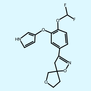 FC(F)Oc1ccc(C2=NOC3(CCOC3)C2)cc1Oc1cc[nH]c1